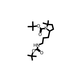 CC(C)(C)OC(=O)NCCCC1CCC(C)(C)N1C(=O)OC(C)(C)C